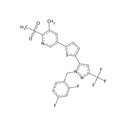 Cc1cc(-c2ccc(-c3cc(C(F)(F)F)nn3Cc3ccc(F)cc3F)s2)cnc1S(C)(=O)=O